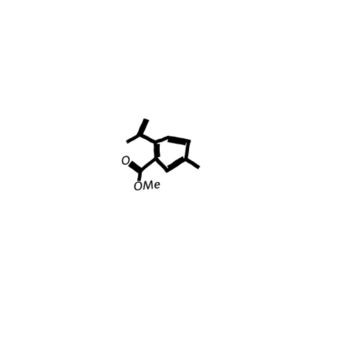 C=C(C)c1ccc(C)cc1C(=O)OC